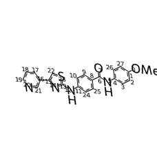 COc1ccc(NC(=O)c2ccc(Nc3nc(-c4cccnc4)cs3)cc2)cc1